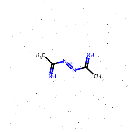 CC(=N)/N=N/C(C)=N